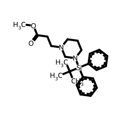 COC(=O)CCN1CCCN([Si](c2ccccc2)(c2ccccc2)C(C)(C)C)C1